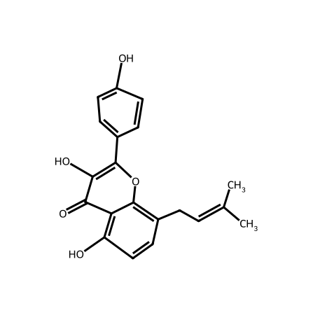 CC(C)=CCc1ccc(O)c2c(=O)c(O)c(-c3ccc(O)cc3)oc12